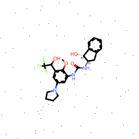 COc1c(NC(=O)N[C@@H]2Cc3ccccc3[C@H]2O)cc(N2CCCC2)cc1C(O)C(F)(F)F